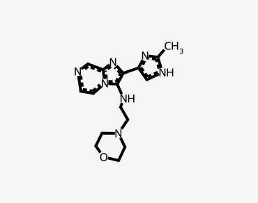 Cc1nc(-c2nc3cnccn3c2NCCN2CCOCC2)c[nH]1